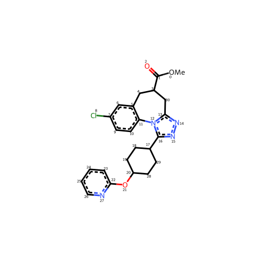 COC(=O)C1Cc2cc(Cl)ccc2-n2c(nnc2C2CCC(Oc3ccccn3)CC2)C1